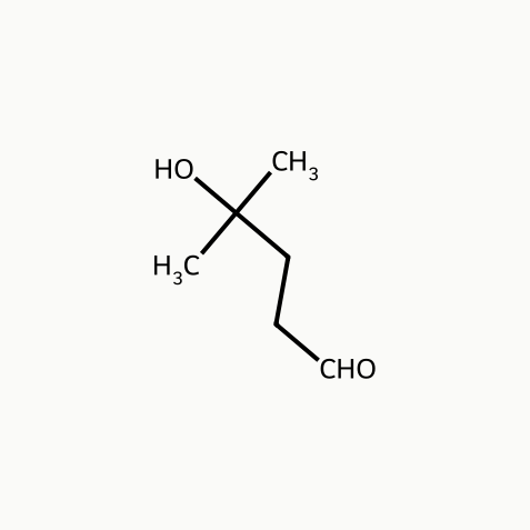 CC(C)(O)CCC=O